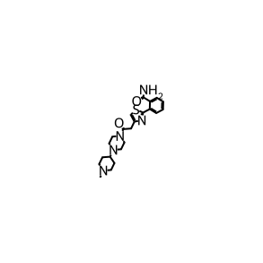 CN1CCC(N2CCN(C(=O)Cc3csc(-c4ccccc4C(N)=O)n3)CC2)CC1